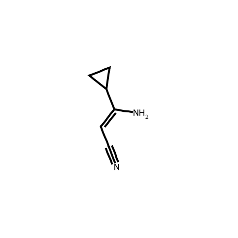 N#CC=C(N)C1CC1